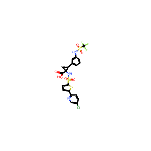 O=C(O)C1(NS(=O)(=O)c2ccc(-c3ccc(Cl)cn3)s2)CC1c1cccc(NS(=O)(=O)C(F)(F)F)c1